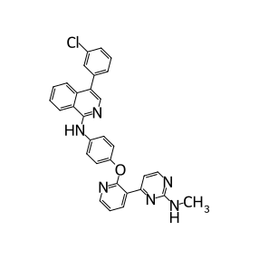 CNc1nccc(-c2cccnc2Oc2ccc(Nc3ncc(-c4cccc(Cl)c4)c4ccccc34)cc2)n1